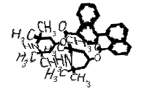 CC1(C)CC(OC(=O)c2ccc(-c3cccc4cccc(C(=O)OC5CC(C)(C)NC(C)(C)C5)c34)c3ccccc23)CC(C)(C)N1